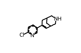 Clc1ccc(C2=CC3CNCC(C2)C3)cn1